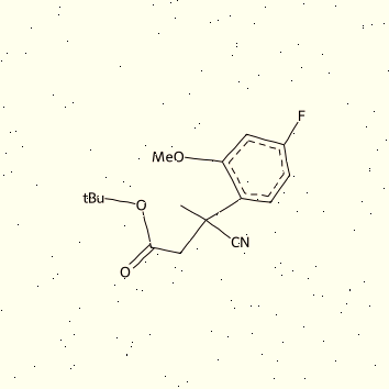 COc1cc(F)ccc1C(C)(C#N)CC(=O)OC(C)(C)C